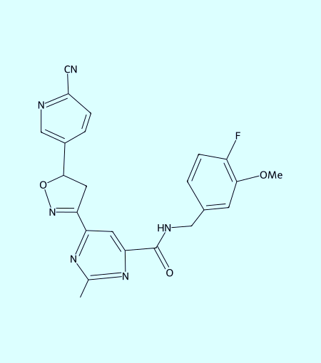 COc1cc(CNC(=O)c2cc(C3=NOC(c4ccc(C#N)nc4)C3)nc(C)n2)ccc1F